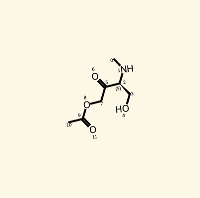 CN[C@@H](CO)C(=O)COC(C)=O